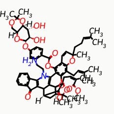 COC(=O)/C(C)=C\CC12OC(C)(C)[C@H]3C[C@H](C1=O)C1C4=C(c5ccccc5C4=O)N(CCN)C4=C1C32Oc1c(CC=C(C)C)c2c(c(OC(=O)c3ccc(O[C@@H]5O[C@@H]6COC(C)(C)O[C@H]6[C@H](O)[C@H]5O)cc3)c14)C=CC(C)(CCC=C(C)C)O2